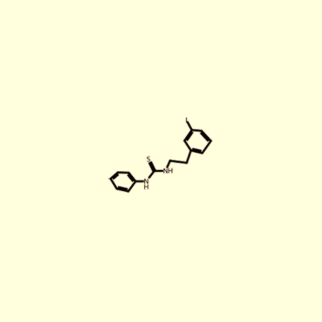 S=C(NCCc1cccc(I)c1)Nc1cc[c]cc1